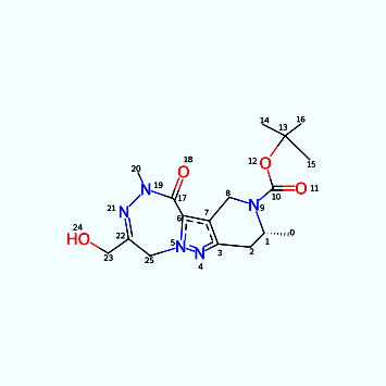 C[C@@H]1Cc2nn3c(c2CN1C(=O)OC(C)(C)C)C(=O)N(C)N=C(CO)C3